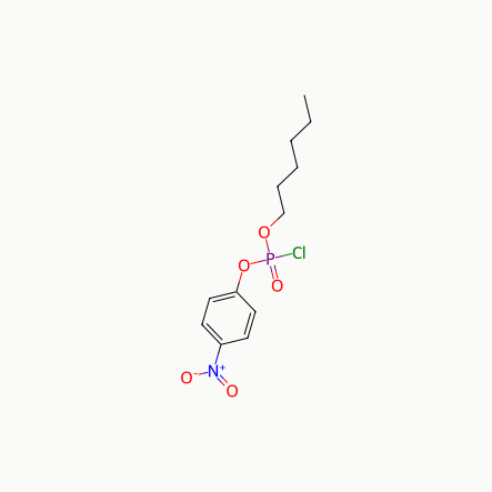 CCCCCCOP(=O)(Cl)Oc1ccc([N+](=O)[O-])cc1